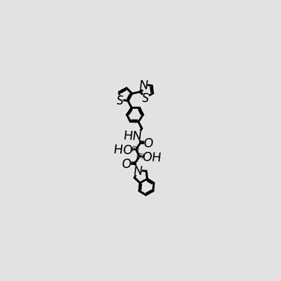 O=C(NCc1ccc(-c2sccc2-c2nccs2)cc1)[C@H](O)[C@@H](O)C(=O)N1Cc2ccccc2C1